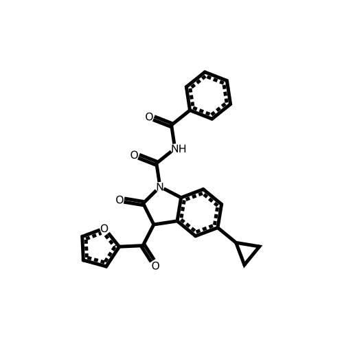 O=C(NC(=O)N1C(=O)C(C(=O)c2ccco2)c2cc(C3CC3)ccc21)c1ccccc1